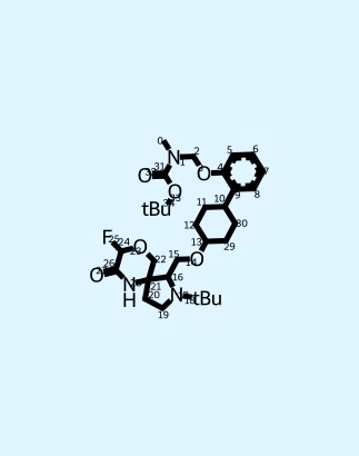 CN(COc1ccccc1C1CCC(OCC2N(C(C)(C)C)CCC23COC(F)C(=O)N3)CC1)C(=O)OC(C)(C)C